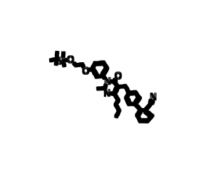 CCCCc1nc(C)n(-c2cccc(OCCO[Si](C)(C)C(C)(C)C)c2)c(=O)c1Cc1ccc(-c2ccccc2C#N)cc1